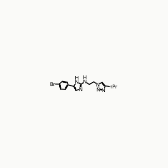 CCCc1cn(CCNc2ncc(-c3ccc(Br)cc3)[nH]2)nn1